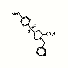 COc1ccc(S(=O)(=O)C2CCN(Cc3ccccc3)C(C(=O)O)C2)cc1